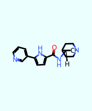 O=C(N[C@H]1CN2CCC1CC2)c1ccc(-c2cccnc2)[nH]1